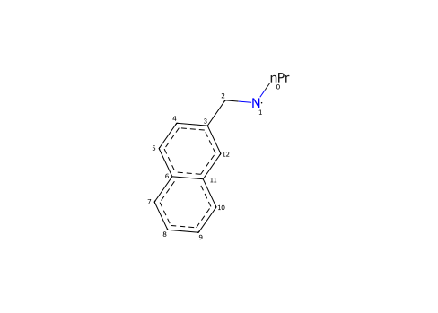 CCC[N]Cc1ccc2ccccc2c1